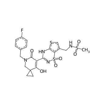 CS(=O)(=O)NCc1csc2c1S(=O)(=O)N=C(C1=C(O)C3(CC3)CN(Cc3ccc(F)cc3)C1=O)N2